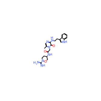 Cc1cnc(NCCc2c[nH]c3ccccc23)c(=O)n1CC(=O)NC1CCN(C(=N)N)OC1